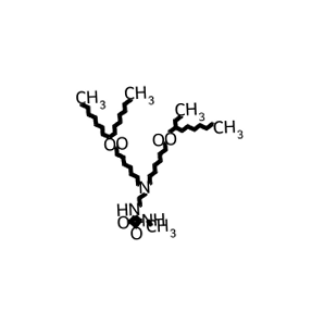 CCCCCCCCC(CCCCCCCC)OC(=O)CCCCCCCN(CCCCCCCC(=O)OCC(CCC)CCCCCCC)CCCNc1c(NC)c(=O)c1=O